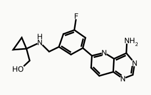 Nc1ncnc2ccc(-c3cc(F)cc(CNC4(CO)CC4)c3)nc12